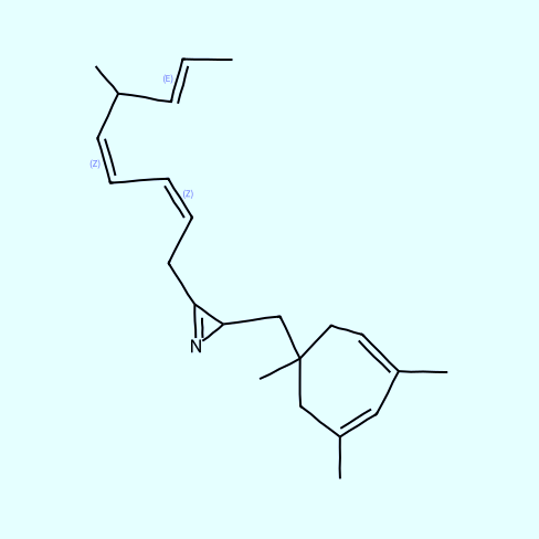 C/C=C/C(C)/C=C\C=C/CC1=NC1CC1(C)CC=C(C)C=C(C)C1